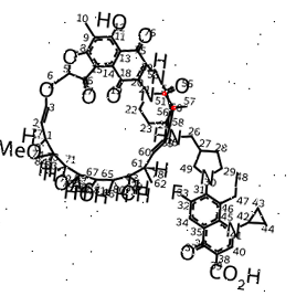 CO[C@H]1/C=C/O[C@@]2(C)Oc3c(C)c(O)c4c(c3C2=O)C(=O)C(N2CCC(NCC3CCN(c5c(F)cc6c(=O)c(C(=O)O)cn(C7CC7)c6c5CI)C3)CC2)=C(NC(=O)/C(C)=C\C=C\[C@H](C)[C@H](O)[C@@H](C)[C@@H](O)[C@@H](C)[C@H](OC(C)=O)[C@@H]1C)C4=O